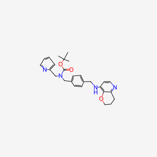 CC(C)(C)OC(=O)N(Cc1ccc(CNc2ccnc3c2OCCC3)cc1)Cc1ccccn1